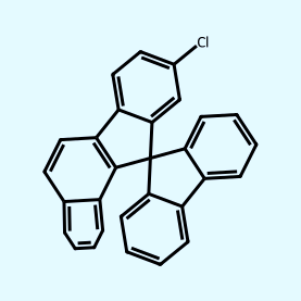 Clc1ccc2c(c1)C1(c3ccccc3-c3ccccc31)c1c-2ccc2ccccc12